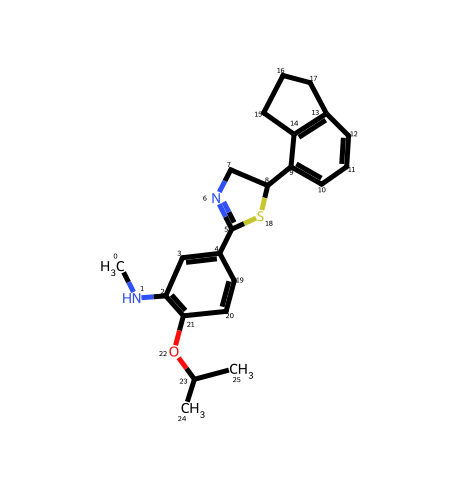 CNc1cc(C2=NCC(c3cccc4c3CCC4)S2)ccc1OC(C)C